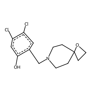 Oc1cc(Cl)c(Cl)cc1CN1CCC2(CCO2)CC1